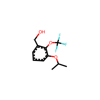 CC(C)Oc1cccc([CH]O)c1OC(F)(F)F